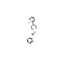 O=C(CN1CCC(c2cccc[n+]2[O-])CC1)Nc1cccc(Cl)c1Cl